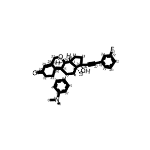 CN(C)c1ccc([C@H]2C[C@@]3(C)[C@@H](CC[C@@]3(O)C#Cc3cccc(F)c3)[C@@H]3OCC4=CC(=O)CCC4=C32)cc1